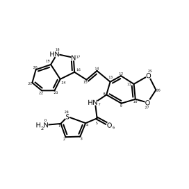 Nc1ccc(C(=O)Nc2cc3c(cc2/C=C/c2n[nH]c4ccccc24)OCO3)s1